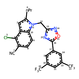 CCCc1cc2c(Cl)c(C#N)ccc2n1Cc1noc(-c2cc(C(F)(F)F)cc(C(F)(F)F)c2)n1